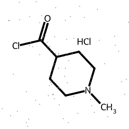 CN1CCC(C(=O)Cl)CC1.Cl